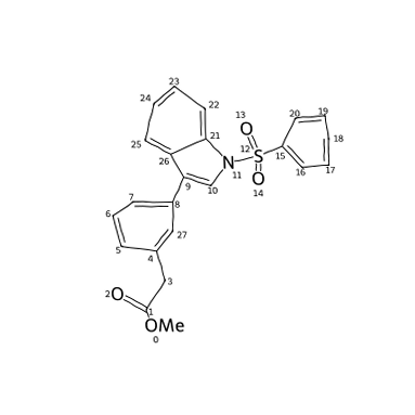 COC(=O)Cc1cccc(-c2cn(S(=O)(=O)c3ccccc3)c3ccccc23)c1